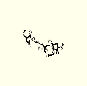 CC[C@]1(COCCON2C(=O)CC(SF)C2=O)CC[C@]2(OCCOC1)C(=O)CC(SF)C2=O